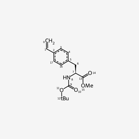 C=Cc1ccc(C[C@H](NC(=O)OC(C)(C)C)C(=O)OC)cc1